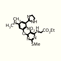 CCOC(=O)CNc1nc(SC)nc(Oc2cc(C3=NCCN3)cc(N(C)C)c2)c1[N+](=O)[O-]